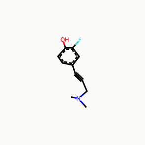 CN(C)CC#Cc1ccc(O)c(F)c1